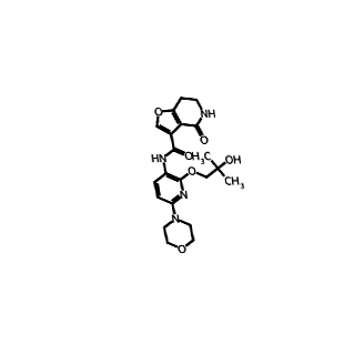 CC(C)(O)COc1nc(N2CCOCC2)ccc1NC(=O)c1coc2c1C(=O)NCC2